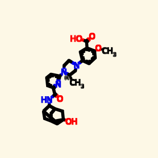 COc1ccc(N2CCN(c3cccc(C(=O)NC4C5CC6CC4CC(O)(C6)C5)n3)[C@H](C)C2)cc1C(=O)O